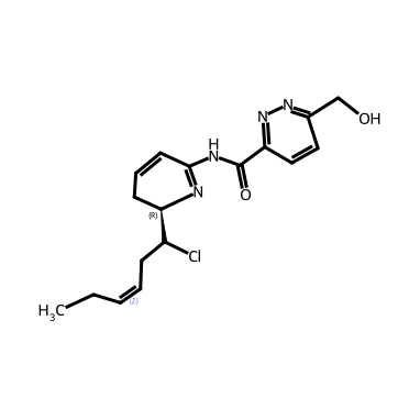 CC/C=C\CC(Cl)[C@H]1CC=CC(NC(=O)c2ccc(CO)nn2)=N1